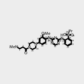 CNCCC(=O)N1CCN(c2ccc(Nc3ncnc(Nc4ccccc4S(=O)(=O)C(C)C)n3)c(OC)c2)CC1